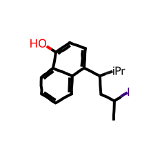 CC(I)CC(c1ccc(O)c2ccccc12)C(C)C